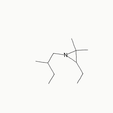 CCC(C)CN1C(CC)C1(C)C